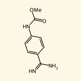 COC(=O)Nc1ccc(C(=N)N)cc1